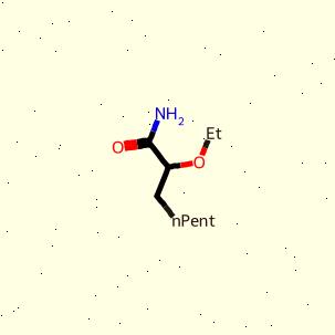 CCCCCCC(OCC)C(N)=O